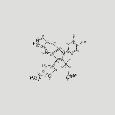 COCC(C)(C)c1c([C@H]2CO[C@H](C(=O)O)C2)c2nc3[nH]ncc3cc2n1-c1ccc(F)c(C)c1